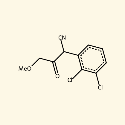 COCC(=O)C(C#N)c1cccc(Cl)c1Cl